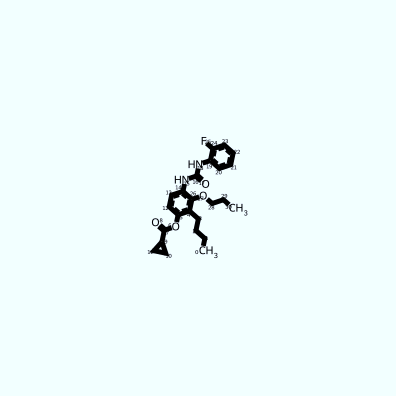 CCCCc1c(OC(=O)C2CC2)ccc(NC(=O)Nc2ccccc2F)c1OCCC